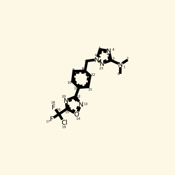 CN(C)c1ncn(Cc2ccc(-c3noc(C(F)(F)Cl)n3)cc2)n1